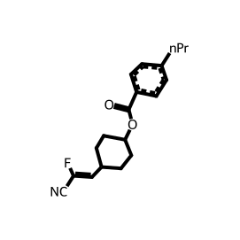 CCCc1ccc(C(=O)OC2CCC(C=C(F)C#N)CC2)cc1